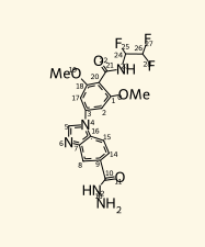 COc1cc(-n2cnc3cc(C(=O)NN)ccc32)cc(OC)c1C(=O)NC(F)C(F)F